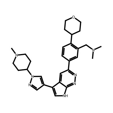 CN(C)Cc1cc(-c2cc3c(-c4cnn(C5CCN(C)CC5)c4)c[nH]c3nn2)ccc1C1CCOCC1